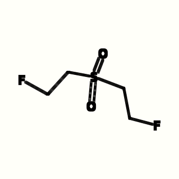 O=S(=O)(CCF)CCF